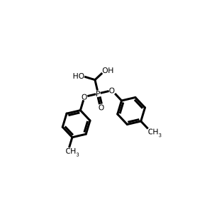 Cc1ccc(OP(=O)(Oc2ccc(C)cc2)C(O)O)cc1